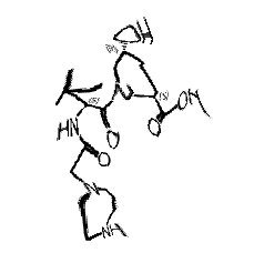 CC(C)(C)[C@H](NC(=O)CN1CCNCC1)C(=O)N1C[C@H](O)C[C@H]1C(=O)O